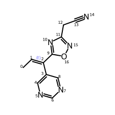 C/C=C(\c1cncnc1)c1nc(CC#N)no1